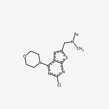 CC(=O)N(C)Cc1cc2c(N3CCOCC3)nc(Cl)nc2s1